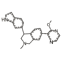 COc1nccnc1-c1ccc2c(c1)CN(C)CC2c1ccc2cc[nH]c2c1